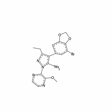 CCc1nn(-c2nccnc2OC)c(N)c1-c1cc(Br)c2c(c1)OCO2